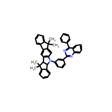 CC1(C)c2ccccc2-c2cc3c(cc21)N(c1cccc(-c2nc(-c4ccccc4)c4ccccc4n2)c1)C1c2ccccc2C(C)(C)C31